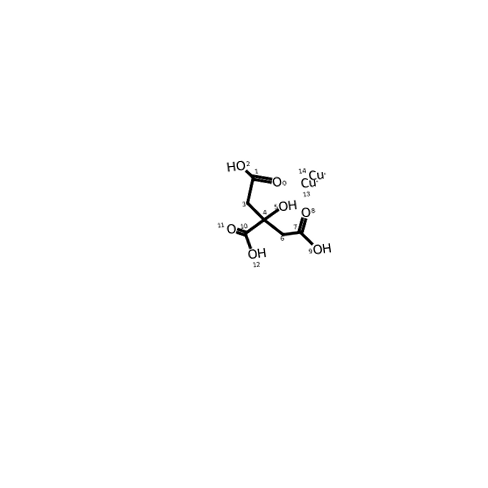 O=C(O)CC(O)(CC(=O)O)C(=O)O.[Cu].[Cu]